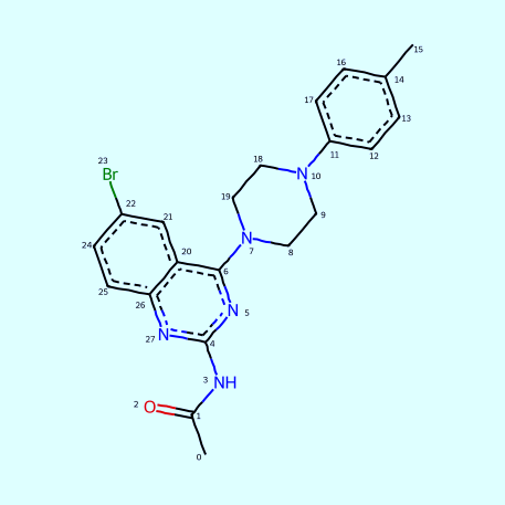 CC(=O)Nc1nc(N2CCN(c3ccc(C)cc3)CC2)c2cc(Br)ccc2n1